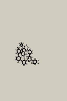 C1=CC2=C(CC1)C1(c3ccccc3Oc3ccc(-c4cccc(-c5cccc(C6=NC(c7ccccc7)=NC(c7ccccc7)N6)c5)c4)cc31)c1ccccc12